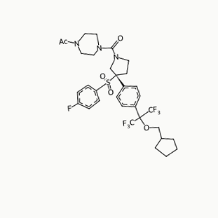 CC(=O)N1CCN(C(=O)N2CC[C@](c3ccc(C(OCC4CCCC4)(C(F)(F)F)C(F)(F)F)cc3)(S(=O)(=O)c3ccc(F)cc3)C2)CC1